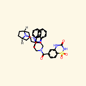 Cc1nc2ccccc2n1[C@H]1C[C@H]2CC[C@@H](C1)N2CCC1(c2ccccc2)CCN(C(=O)c2ccc3c(c2)NC(=O)NS3(=O)=O)CC1